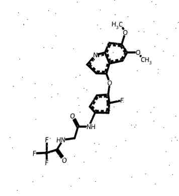 COc1cc2nccc(Oc3ccc(NC(=O)CNC(=O)C(F)(F)F)cc3F)c2cc1OC